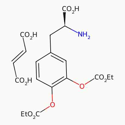 CCOC(=O)Oc1ccc(C[C@H](N)C(=O)O)cc1OC(=O)OCC.O=C(O)C=CC(=O)O